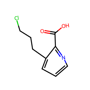 O=C(O)c1ncccc1CCCCl